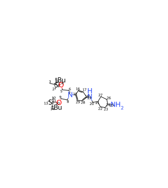 CC(C)(C)[Si](C)(C)OCCN(CCO[Si](C)(C)C(C)(C)C)c1ccc(NCC2CCC(N)CC2)cc1